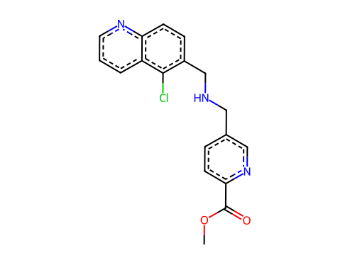 COC(=O)c1ccc(CNCc2ccc3ncccc3c2Cl)cn1